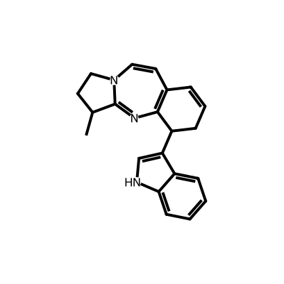 CC1CCN2C=CC3=C(N=C12)C(c1c[nH]c2ccccc12)CC=C3